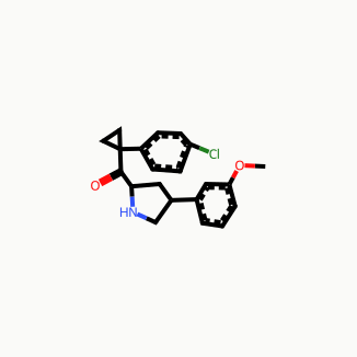 COc1cccc(C2CNC(C(=O)C3(c4ccc(Cl)cc4)CC3)C2)c1